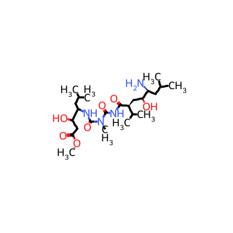 COC(=O)CC(O)C(CC(C)C)NC(=O)N(C)C(=O)NC(=O)[C@@H](C[C@H](O)[C@@H](N)CC(C)C)C(C)C